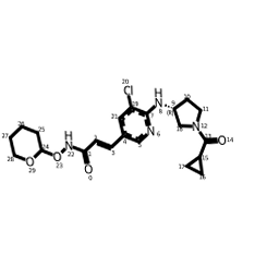 O=C(C=Cc1cnc(N[C@@H]2CCN(C(=O)C3CC3)C2)c(Cl)c1)NOC1CCCCO1